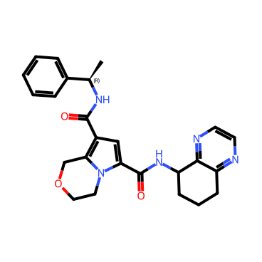 C[C@@H](NC(=O)c1cc(C(=O)NC2CCCc3nccnc32)n2c1COCC2)c1ccccc1